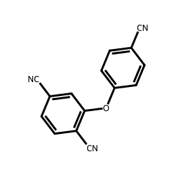 N#Cc1ccc(Oc2cc(C#N)ccc2C#N)cc1